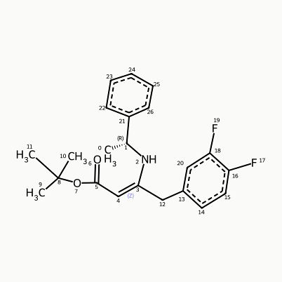 C[C@@H](N/C(=C\C(=O)OC(C)(C)C)Cc1ccc(F)c(F)c1)c1ccccc1